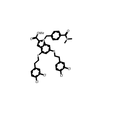 COC(=O)c1cc2c(SCCc3ccc(Cl)c(Cl)c3)cc(SCCc3ccc(Cl)c(Cl)c3)cc2n1Cc1ccc(C(=O)N(C)C)cc1